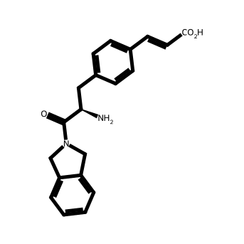 N[C@H](Cc1ccc(C=CC(=O)O)cc1)C(=O)N1Cc2ccccc2C1